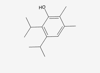 Cc1cc(C(C)C)c(C(C)C)c(O)c1C